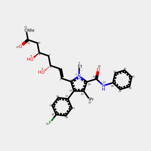 CCn1c(C=C[C@H](O)C[C@@H](O)CC(=O)OC)c(-c2ccc(F)cc2)c(C(C)C)c1C(=O)Nc1ccccc1